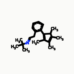 CC1=C(C)C(C)C(c2ccccc2CC=NC(C)(C)C)=C1C